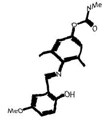 CNC(=O)Oc1cc(C)c(N=Cc2cc(OC)ccc2O)c(C)c1